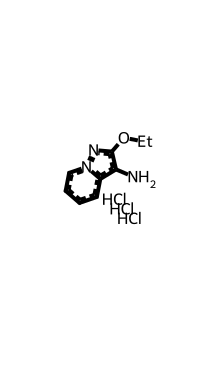 CCOc1nn2ccccc2c1N.Cl.Cl.Cl